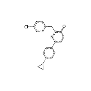 O=c1ccc(-c2ccc(C3CC3)cc2)nn1Cc1ccc(Cl)cc1